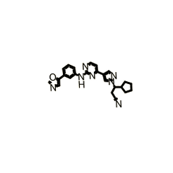 N#CCC(C1CCCC1)n1cc(-c2ccnc(Nc3cccc(-c4cnco4)c3)n2)cn1